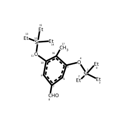 CC[Si](CC)(CC)Oc1cc(C=O)cc(O[Si](CC)(CC)CC)c1C